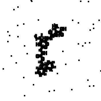 CC[C@H](C)[C@H](NC(=O)CNC(=O)OCC1c2ccccc2-c2ccccc21)C(=O)NCC(=O)N[C@@H](CS)C(=O)O